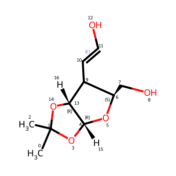 CC1(C)O[C@H]2O[C@H](CO)C(/C=C/O)[C@H]2O1